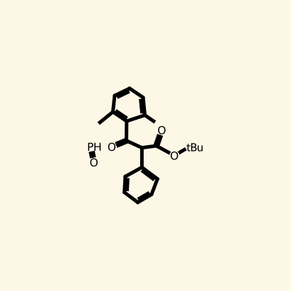 Cc1cccc(C)c1C(=O)C(C(=O)OC(C)(C)C)c1ccccc1.O=P